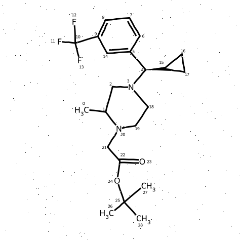 CC1CN([C@@H](c2cccc(C(F)(F)F)c2)C2CC2)CCN1CC(=O)OC(C)(C)C